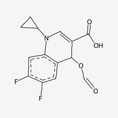 O=COC1C(C(=O)O)=CN(C2CC2)c2cc(F)c(F)cc21